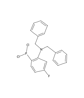 Fc1ccc(P(Cl)Cl)c(N(Cc2ccccc2)Cc2ccccc2)c1